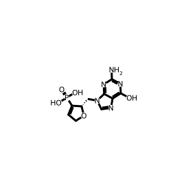 Nc1nc(O)c2ncn(C[C@@H]3OCC=C3P(=O)(O)O)c2n1